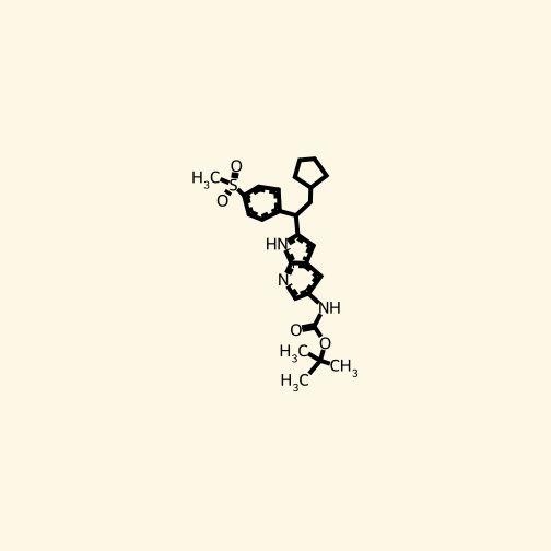 CC(C)(C)OC(=O)Nc1cnc2[nH]c(C(CC3CCCC3)c3ccc(S(C)(=O)=O)cc3)cc2c1